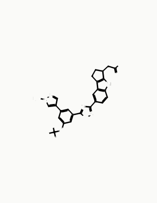 Cn1cc(-c2cc(OC(F)(F)F)cc(-c3nc(-c4ccc5[nH]c6c(c5c4)CCC6CC(=O)O)no3)c2)cn1